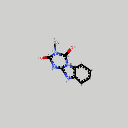 CCCCn1c(=O)[nH]c2nc3ccccc3n2c1=O